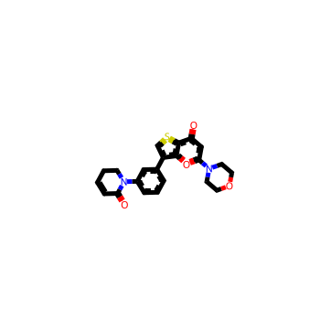 O=C1C=CCCN1c1cccc(-c2csc3c(=O)cc(N4CCOCC4)oc23)c1